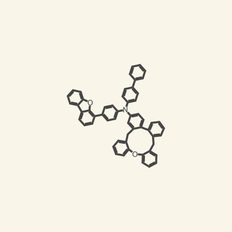 c1ccc(-c2ccc(N(c3ccc(-c4cccc5c4oc4ccccc45)cc3)c3ccc4c(c3)Cc3ccccc3Oc3ccccc3Cc3ccccc3-4)cc2)cc1